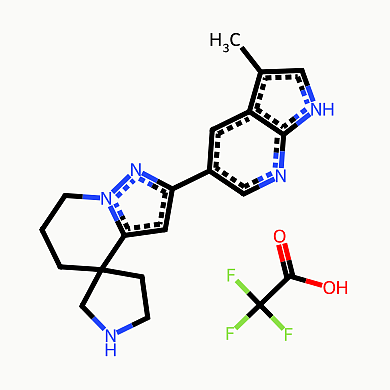 Cc1c[nH]c2ncc(-c3cc4n(n3)CCCC43CCNC3)cc12.O=C(O)C(F)(F)F